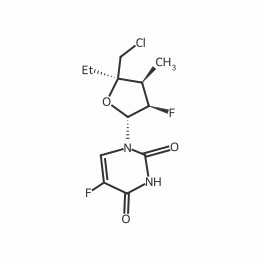 CC[C@@]1(CCl)O[C@@H](n2cc(F)c(=O)[nH]c2=O)[C@H](F)[C@@H]1C